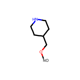 O=NOCC1CCNCC1